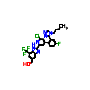 CCCCn1cnnc1-c1cc(F)ccc1-c1cc(Cl)nc(-c2nc3cc(CO)cc(C(F)(F)F)c3[nH]2)c1